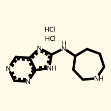 Cl.Cl.c1ncc2nc(NC3CCCNCC3)[nH]c2n1